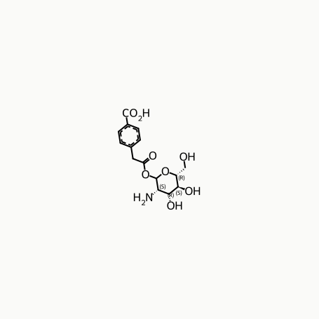 N[C@@H]1C(OC(=O)Cc2ccc(C(=O)O)cc2)O[C@H](CO)[C@@H](O)[C@@H]1O